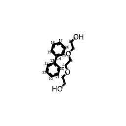 OCCOCCOCCO.c1ccc(-c2ccccc2)cc1